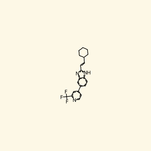 FC(F)(F)c1cc(-c2ccc3[nH]c(/C=C/C4CCCCC4)nc3c2)ccn1